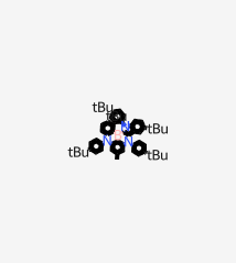 Cc1cc2c3c(c1)N(c1ccc(C(C)(C)C)cc1)c1c(n(-c4ccc(C(C)(C)C)cc4)c4ccc(C(C)(C)C)cc14)B3c1cc(C(C)(C)C)ccc1N2c1ccc(C(C)(C)C)cc1